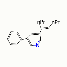 CCC/C=C(\CCC)c1cncc(-c2ccccc2)c1